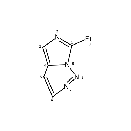 CCc1ncc2ccnnn12